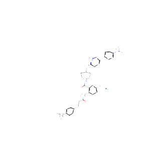 CN(C)c1ccc(CCC(=O)Nc2ccc(OC(F)(F)F)cc2C(=O)N2CCC(Oc3ccc(-c4ccc(N(C)C)cc4)cn3)CC2)cc1